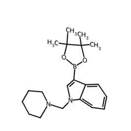 CC1(C)OB(c2cn(CN3CCCCC3)c3ccccc23)OC1(C)C